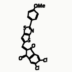 COc1ccc(-c2nc3sc(C=C4C(=O)c5cc(Cl)c(Cl)cc5C4=O)cc3s2)cc1